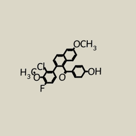 COc1ccc2c(C(=O)C3=CCC(O)C=C3)c(-c3ccc(F)c(OC)c3Cl)ccc2c1